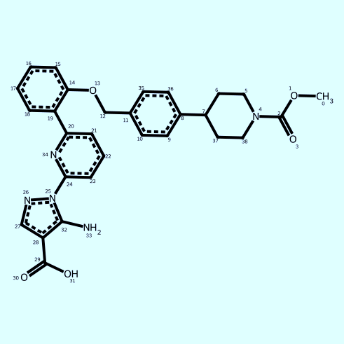 COC(=O)N1CCC(c2ccc(COc3ccccc3-c3cccc(-n4ncc(C(=O)O)c4N)n3)cc2)CC1